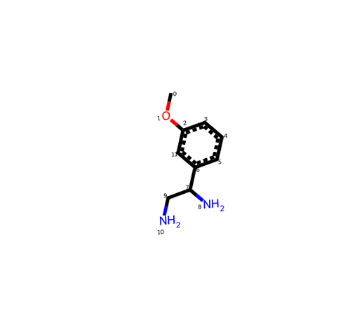 COc1cccc(C(N)CN)c1